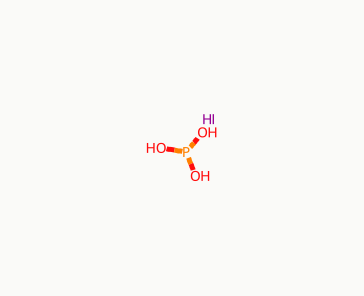 I.OP(O)O